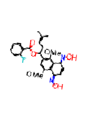 COc1cc(C(CC=C(C)C)OC(=O)c2ccccc2F)c(OC)c2c1C(=NO)C=CC2=NO